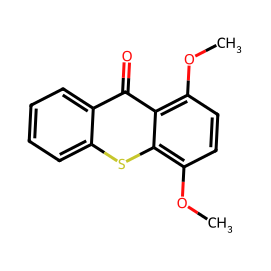 COc1ccc(OC)c2c(=O)c3ccccc3sc12